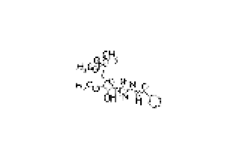 CO[C@@H]1[C@@H](O)[C@H](n2cnc3c(NC(=O)c4ccccc4)ncnc32)O[C@@H]1CCP(=O)(OC)OC